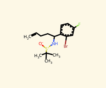 C=CCCC(N[S+]([O-])C(C)(C)C)c1ccc(F)cc1Br